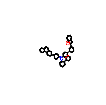 c1ccc(-c2ccccc2N(c2ccc(-c3cccc(-c4cc5ccccc5o4)c3)cc2)c2ccc(-c3ccc4c(ccc5ccccc54)c3)cc2)cc1